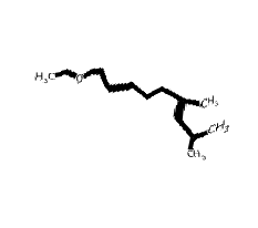 CCOCCCCCC(C)CC(C)C